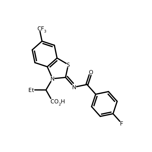 CCC(C(=O)O)n1c(=NC(=O)c2ccc(F)cc2)sc2cc(C(F)(F)F)ccc21